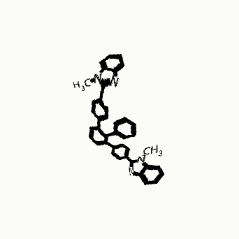 Cn1c(-c2ccc(-c3cccc(-c4ccc(-c5nc6ccccc6n5C)cc4)c3-c3ccccc3)cc2)nc2ccccc21